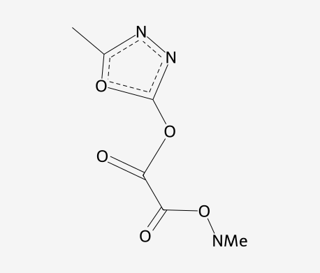 CNOC(=O)C(=O)Oc1nnc(C)o1